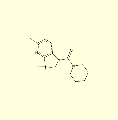 Cc1ccc2c(n1)C(C)(C)CN2C(=O)N1CCCCC1